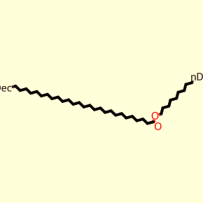 CCCCCCCCCCCCCCCCCCCCCCCCCCCCCCCCCCCCC(=O)OCCCCCCCCCCCCCCCCCCC